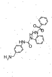 NCc1ccc(NC(=O)Nc2ccccc2NS(=O)(=O)c2ccccc2)cc1